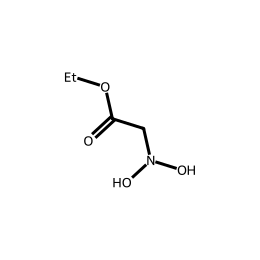 CCOC(=O)CN(O)O